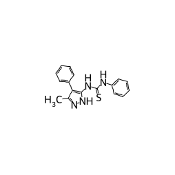 Cc1n[nH]c(NC(=S)Nc2ccccc2)c1-c1ccccc1